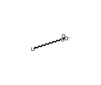 CCCCCCCCCCCCCCCCOC(=O)[O-].[Li+]